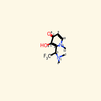 CN(C)C(c1c(O)c(=O)ccn1C)C(F)(F)F